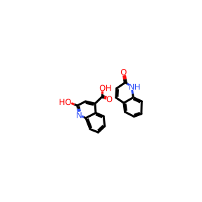 O=C(O)c1cc(O)nc2ccccc12.O=c1ccc2ccccc2[nH]1